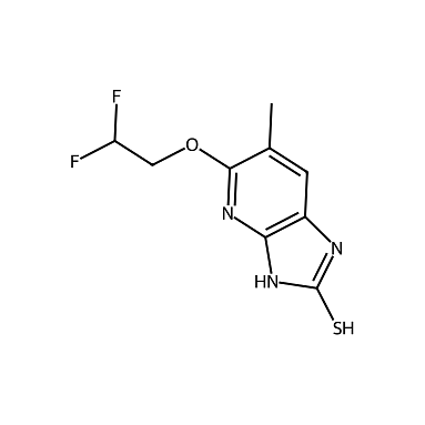 Cc1cc2nc(S)[nH]c2nc1OCC(F)F